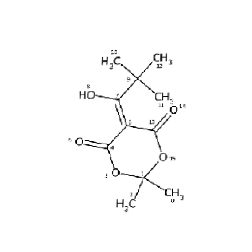 CC1(C)OC(=O)C(=C(O)C(C)(C)C)C(=O)O1